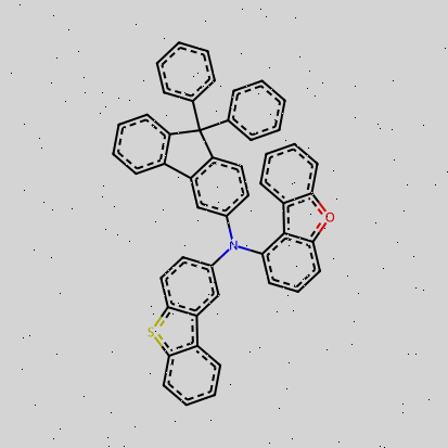 c1ccc(C2(c3ccccc3)c3ccccc3-c3cc(N(c4ccc5sc6ccccc6c5c4)c4cccc5oc6ccccc6c45)ccc32)cc1